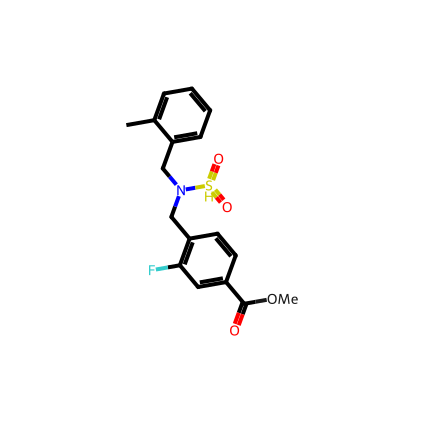 COC(=O)c1ccc(CN(Cc2ccccc2C)[SH](=O)=O)c(F)c1